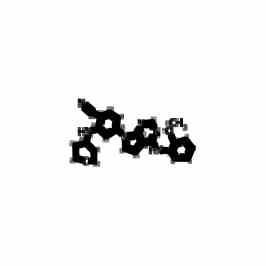 COc1ccccc1Nc1ncnc2c1ccn2-c1ccc(C#N)c(NC2CCCCC2)c1